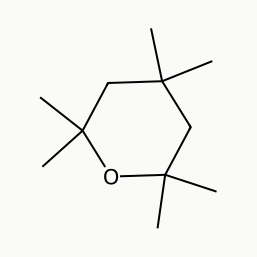 CC1(C)CC(C)(C)OC(C)(C)C1